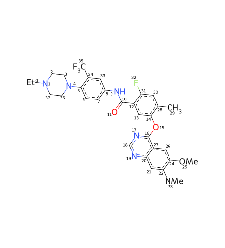 CCN1CCN(c2ccc(NC(=O)c3cc(Oc4ncnc5cc(NC)c(OC)cc45)c(C)cc3F)cc2C(F)(F)F)CC1